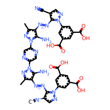 [C-]#[N+]c1cnn(-c2cc(C(=O)O)cc(C(=O)O)c2)c1/N=N/c1c(C)nn(-c2cnc(-n3nc(C)c(/N=N/c4c(C#N)cnn4-c4cc(C(=O)O)cc(C(=O)O)c4)c3N)cn2)c1N